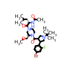 COC[C@H]1CN(C(=O)[C@H](CC(C)C)NC(C)=O)CCN1C(=O)C1CN(C(C)(C)C)CC1c1ccc(Br)cc1F